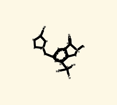 CN1Cc2c(cc(CN3CCC(F)C3)cc2C(F)(F)F)C1=O